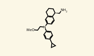 COCCN(c1ccc(C2CC2)cc1)c1ccc2c(c1)CCC[C@H]2CN